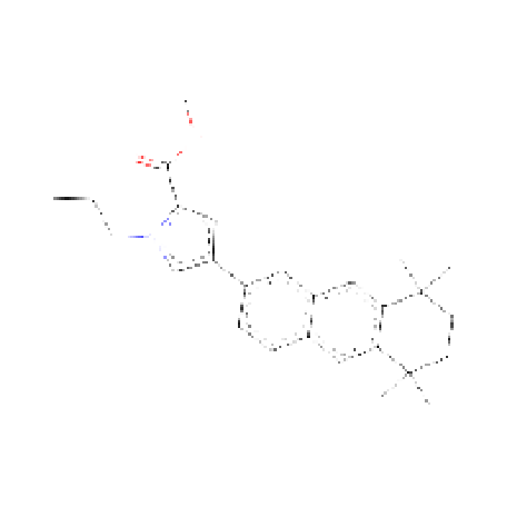 CCCn1cc(-c2ccc3cc4c(cc3c2)C(C)(C)CCC4(C)C)cc1C(=O)OC